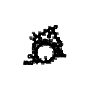 COc1cc2cc(c1Cl)N(C)C(=O)C[C@H](OC(=O)[C@H](C)N(C)C(=O)CCSC1CC(=O)N(CCOC(C)C)C1=O)[C@]1(C)O[C@H]1[C@H](C)[C@@H]1C[C@@](O)(NC(=O)O1)[C@H](OC)/C=C/C=C(\C)C2